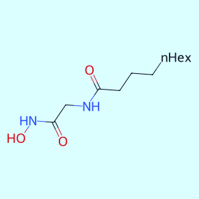 CCCCCCCCCC(=O)NCC(=O)NO